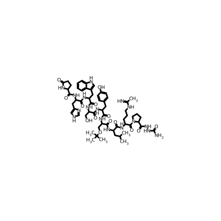 CC(=N)NCCCC(NC(=O)C(CC(C)C)NC(=O)C(COC(C)(C)C)NC(=O)C(Cc1ccc(O)cc1)NC(=O)C(CO)NC(=O)C(Cc1c[nH]c2ccccc12)NC(=O)C(Cc1c[nH]cn1)NC(=O)C1CCC(=O)N1)C(=O)N1CCCC1C(=O)NNC(N)=O